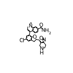 C=Nc1cc(C(N)=O)ccc1/C(=C\C)c1cc(Cl)cc2c1OC(c1onc3c1CNCC3)C2